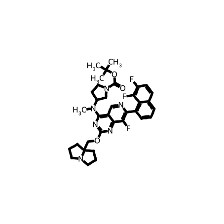 CN(c1nc(OCC23CCCN2CCC3)nc2c(F)c(-c3cccc4ccc(F)c(F)c34)ncc12)C1CCN(C(=O)OC(C)(C)C)C1